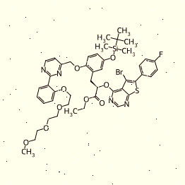 CCOC(=O)[C@@H](Cc1cc(O[Si](C)(C)C(C)(C)C)ccc1OCc1ccnc(-c2ccccc2OCCOCCOCCOC)n1)Oc1ncnc2sc(-c3ccc(F)cc3)c(Br)c12